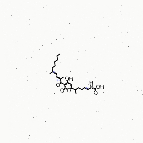 CCCCCC/C(C)=C/C=C(\C)C(=O)c1c(O)cc(C(C)CC/C=C/NC(=O)O)oc1=O